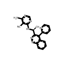 C[C@H](Nc1ncnc(N)c1C#N)c1nnc2ccccc2c1-c1ccccn1